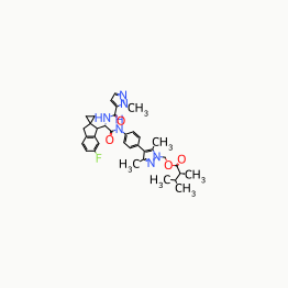 Cc1nn(COC(=O)[C@@H](C)C(C)C)c(C)c1-c1ccc(NC(=O)[C@@H](NC(=O)c2ccnn2C)C2c3cc(F)ccc3CC23CC3)cc1